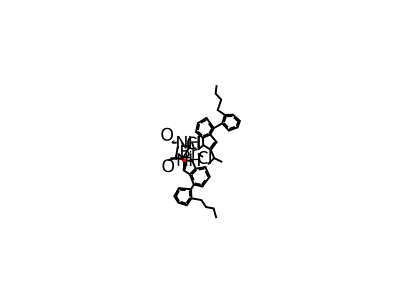 CCCCc1ccccc1-c1cccc2c1C=C(C(C)C)[CH]2[Zr]([Cl])([Cl])([B](NC=O)NC=O)[CH]1C(C(C)C)=Cc2c(-c3ccccc3CCCC)cccc21